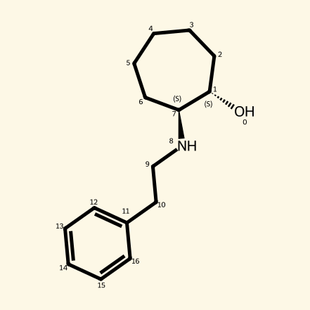 O[C@H]1CCCCC[C@@H]1NCCc1ccccc1